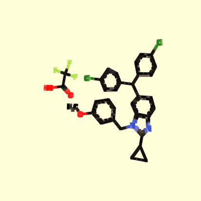 COc1cccc(Cn2c(C3CC3)nc3ccc(C(c4ccc(Cl)cc4)c4ccc(Cl)cc4)cc32)c1.O=C(O)C(F)(F)F